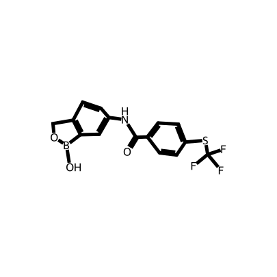 O=C(Nc1ccc2c(c1)B(O)OC2)c1ccc(SC(F)(F)F)cc1